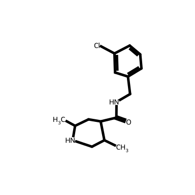 CC1CC(C(=O)NCc2cccc(Cl)c2)C(C)CN1